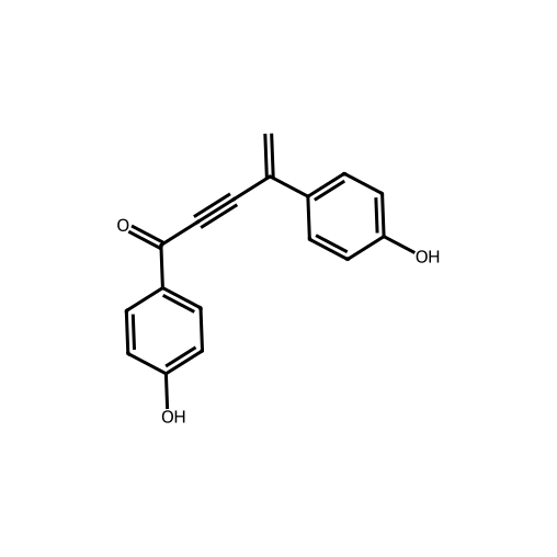 C=C(C#CC(=O)c1ccc(O)cc1)c1ccc(O)cc1